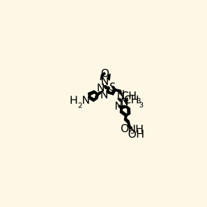 CN(Cc1cc2nc(-c3ccc(N)cc3)nc(N3CCOCC3)c2s1)Cc1nc2cc(/C=C/C(=O)NO)ccc2n1C